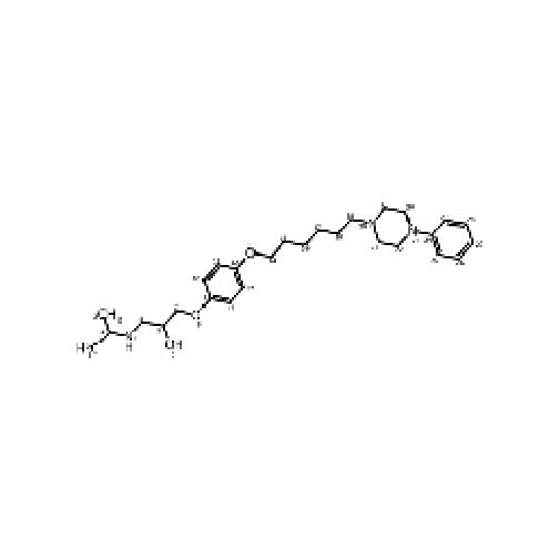 CC(C)NCC(O)COc1ccc(OCCCCCCN2CCN(c3ccccc3)CC2)cc1